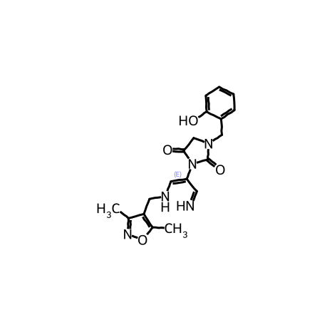 Cc1noc(C)c1CN/C=C(\C=N)N1C(=O)CN(Cc2ccccc2O)C1=O